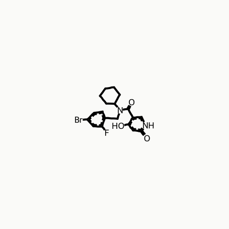 O=C(c1c[nH]c(=O)cc1O)N(Cc1ccc(Br)cc1F)C1CCCCC1